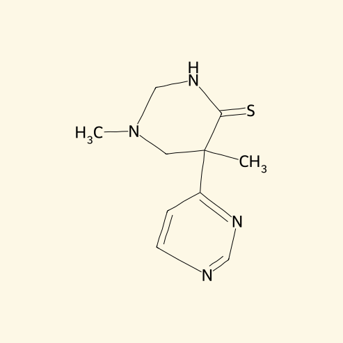 CN1CNC(=S)C(C)(c2ccncn2)C1